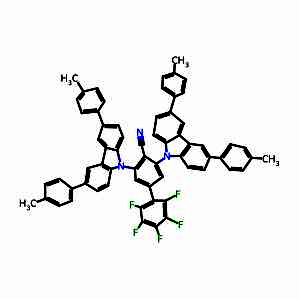 Cc1ccc(-c2ccc3c(c2)c2cc(-c4ccc(C)cc4)ccc2n3-c2cc(-c3c(F)c(F)c(F)c(F)c3F)cc(-n3c4ccc(-c5ccc(C)cc5)cc4c4cc(-c5ccc(C)cc5)ccc43)c2C#N)cc1